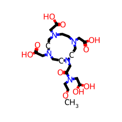 COCCN(CC(O)O)C(=O)CN1CCN(CC(=O)O)CCN(CC(=O)O)CCN(CC(=O)O)CC1